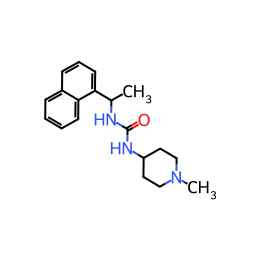 CC(NC(=O)NC1CCN(C)CC1)c1cccc2ccccc12